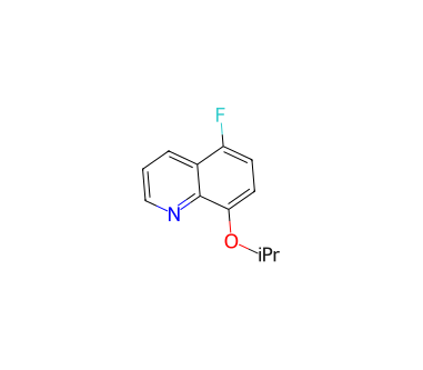 CC(C)Oc1ccc(F)c2cccnc12